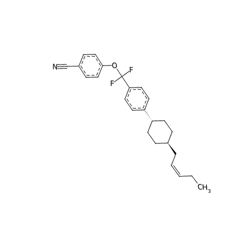 CC/C=C\C[C@H]1CC[C@H](c2ccc(C(F)(F)Oc3ccc(C#N)cc3)cc2)CC1